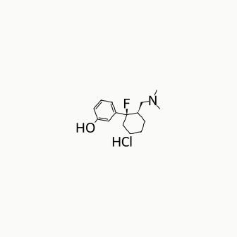 CN(C)C[C@H]1CCCC[C@]1(F)c1cccc(O)c1.Cl